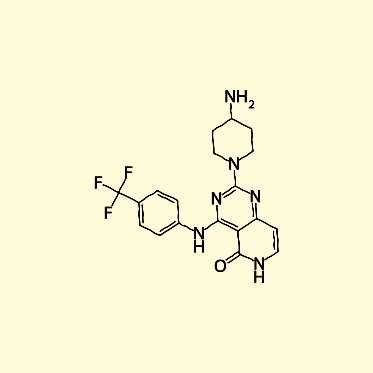 NC1CCN(c2nc(Nc3ccc(C(F)(F)F)cc3)c3c(=O)[nH]ccc3n2)CC1